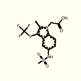 Cc1c(SC(F)(F)F)c2cc(NS(C)(=O)=O)ccc2n1CC(=O)O